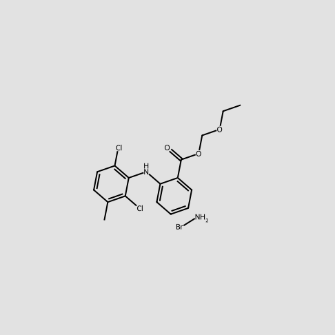 CCOCOC(=O)c1ccccc1Nc1c(Cl)ccc(C)c1Cl.NBr